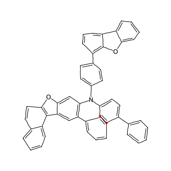 c1ccc(-c2ccc(N(c3ccc(-c4cccc5c4oc4ccccc45)cc3)c3cc4oc5ccc6ccccc6c5c4cc3-c3ccccc3)cc2)cc1